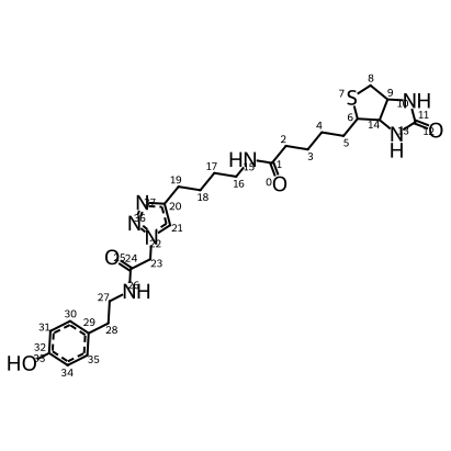 O=C(CCCCC1SCC2NC(=O)NC21)NCCCCc1cn(CC(=O)NCCc2ccc(O)cc2)nn1